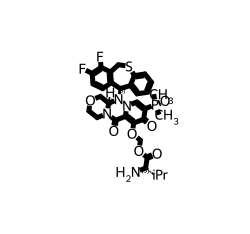 CC(C)[C@H](N)C(=O)OCOc1c2n(cc(P(C)(C)=O)c1=O)N([C@@H]1c3ccccc3SCc3c1ccc(F)c3F)[C@@H]1COCCN1C2=O